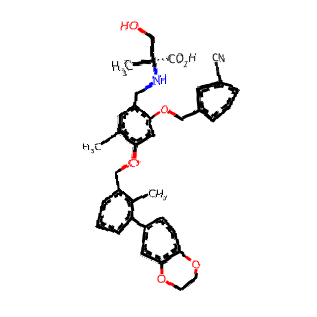 Cc1cc(CN[C@@](C)(CO)C(=O)O)c(OCc2cccc(C#N)c2)cc1OCc1cccc(-c2ccc3c(c2)OCCO3)c1C